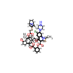 C=C[C@@]1(C)C[C@H](OC(=O)CSC2CC3CCC(C2)N3C)[C@@]2(C)C(C)CCC3(CCC(=O)C32)[C@H](C)[C@@H]1OC(=O)c1ccccc1OC(=O)c1c2n(c3cc(N4CCNCC4)c(F)cc3c1=O)C(C)S2